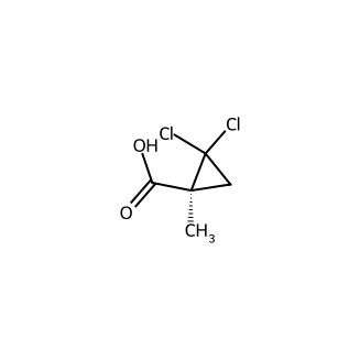 C[C@@]1(C(=O)O)CC1(Cl)Cl